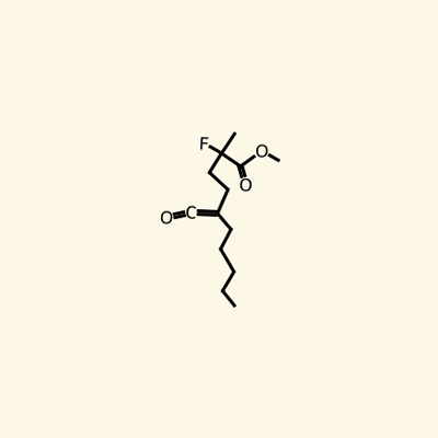 CCCCCC(=C=O)CCC(C)(F)C(=O)OC